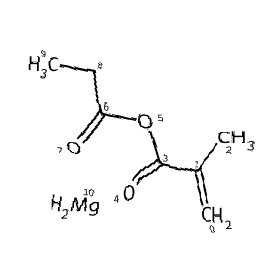 C=C(C)C(=O)OC(=O)CC.[MgH2]